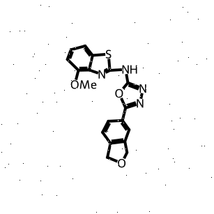 COc1cccc2sc(Nc3nnc(-c4ccc5c(c4)COC5)o3)nc12